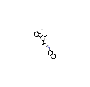 C=C(N/N=C/c1ccc2c(c1)CCCC2)C1Cc2c([nH]c3ccccc23)C(C)N1